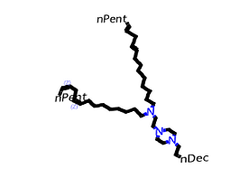 CCCCCC=CCC=CCCCCCCCCN(CCCCCCCC/C=C\C/C=C\CCCCC)CCN1CCN(CCCCCCCCCCCC)CC1